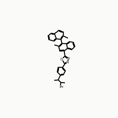 Cc1ccc2ccccc2c1-c1c(C)cc(-c2nnc(-c3ccc(C(C)C(C)C(C)C)cc3)o2)c2ccccc12